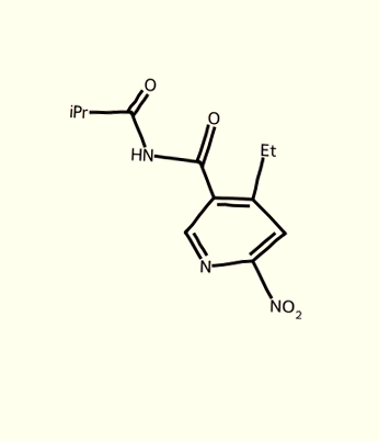 CCc1cc([N+](=O)[O-])ncc1C(=O)NC(=O)C(C)C